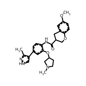 COc1ccc2c(c1)CC(C(=O)Nc1ccc(-c3c[nH]nc3C)cc1OC1CCN(C)C1)CO2